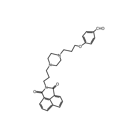 O=Cc1ccc(OCCCN2CCN(CCCN3C(=O)c4cccc5cccc(c45)C3=O)CC2)cc1